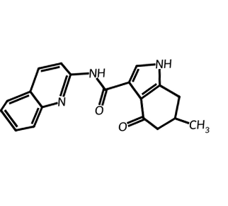 CC1CC(=O)c2c(C(=O)Nc3ccc4ccccc4n3)c[nH]c2C1